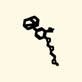 COCCOCOc1ccc(C23CC4CC(CC(C4)C2)C3)cc1Br